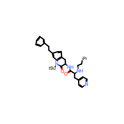 CC(C)CCNC(Cc1ccncc1)C(=O)NC(Cc1ccc(CCc2ccccc2)cc1)C(=O)NC(C)(C)C